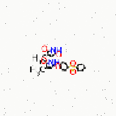 CC1=CC(=O)NC1=O.CC1=CC(=O)NC1=O.O=S(=O)(c1ccccc1)c1ccccc1